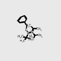 CC(C)N(B(OCc1ccccc1)C(C)(C)C)C(C)C